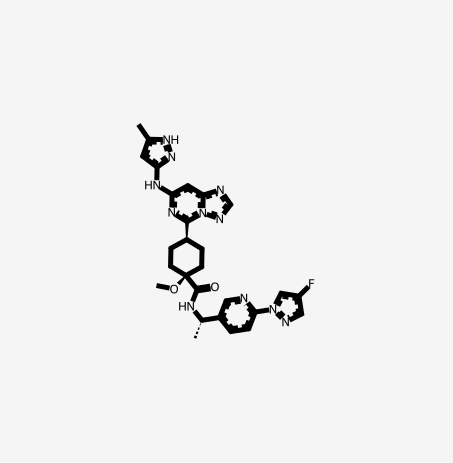 CO[C@]1(C(=O)N[C@@H](C)c2ccc(-n3cc(F)cn3)nc2)CC[C@H](c2nc(Nc3cc(C)[nH]n3)cc3ncnn32)CC1